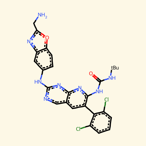 CC(C)(C)NC(=O)Nc1nc2nc(Nc3ccc4oc(CN)nc4c3)ncc2cc1-c1c(Cl)cccc1Cl